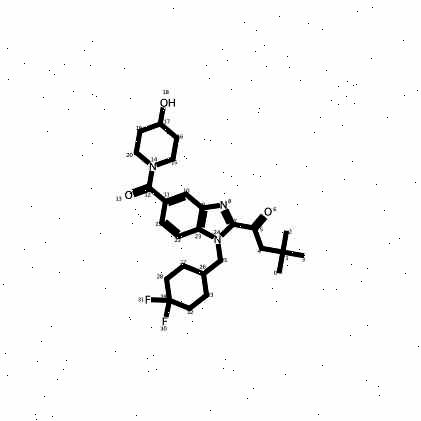 CC(C)(C)CC(=O)c1nc2cc(C(=O)N3CCC(O)CC3)ccc2n1CC1CCC(F)(F)CC1